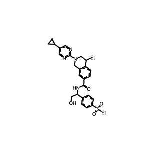 CCC1CN(c2ncc(C3CC3)cn2)Cc2cc(C(=O)NC(CO)c3ccc(S(=O)(=O)CC)cc3)ccc21